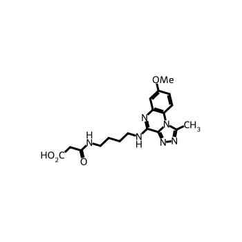 COc1ccc2c(c1)nc(NCCCCNC(=O)CC(=O)O)c1nnc(C)n12